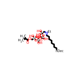 C=C(C)C(=O)OC[Si](O)(O)O[Si](O)(O)O[Si](O)(O)O[Si](O)(O)CN(CC)CCCCCCCCCCCCCCCCCC